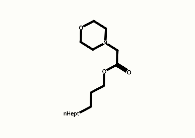 CCCCCCCCCCOC(=O)CN1CCOCC1